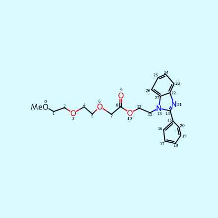 COCCOCCOCC(=O)OCCn1c(-c2ccccc2)nc2ccccc21